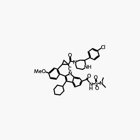 COc1ccc2c(c1)C1CC1(C(=O)N1CCNC(c3ccc(Cl)cc3)C1)Cn1c-2c(C2CCCCC2)c2ccc(C(=O)NS(=O)(=O)N(C)C)cc21